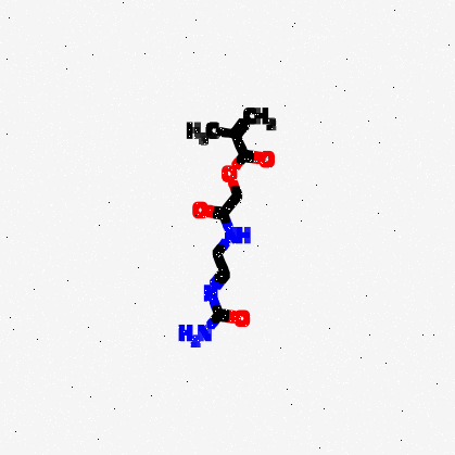 C=C(C)C(=O)OCC(=O)NCC=NC(N)=O